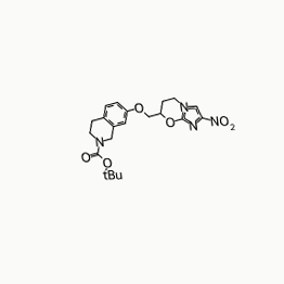 CC(C)(C)OC(=O)N1CCc2ccc(OCC3CCn4cc([N+](=O)[O-])nc4O3)cc2C1